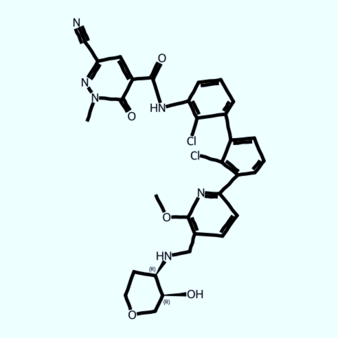 COc1nc(-c2cccc(-c3cccc(NC(=O)c4cc(C#N)nn(C)c4=O)c3Cl)c2Cl)ccc1CN[C@@H]1CCOC[C@@H]1O